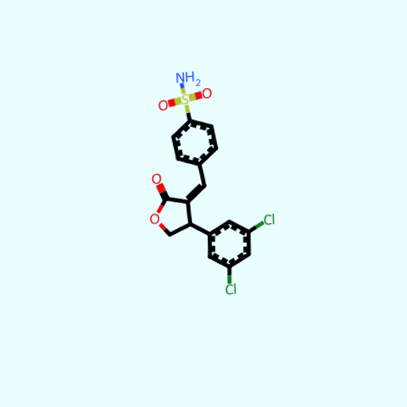 NS(=O)(=O)c1ccc(/C=C2\C(=O)OCC2c2cc(Cl)cc(Cl)c2)cc1